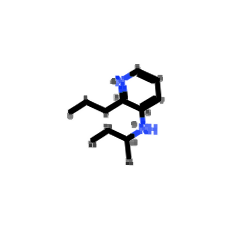 CCCc1ncccc1NC(C)CC